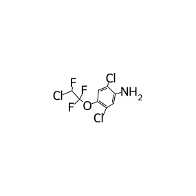 Nc1cc(Cl)c(OC(F)(F)C(F)Cl)cc1Cl